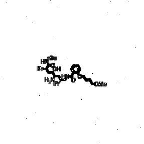 CCCCNC(=O)[C@@H](C[C@H](O)[C@@H](N)C[C@H](CNC(=O)c1ccccc1OCC=CCOC)C(C)C)C(C)C